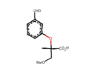 COCC(C)(Oc1cccc(C=O)c1)C(=O)O